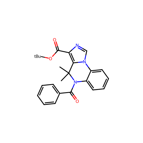 CC(C)(C)OC(=O)c1ncn2c1C(C)(C)N(C(=O)c1ccccc1)c1ccccc1-2